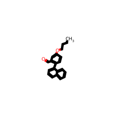 CCCCOc1ccc(-c2cccc3ccccc23)c(C=O)c1